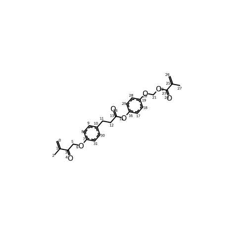 C=C(C)C(=O)COc1ccc(CCC(=O)Oc2ccc(OCOC(=O)C(=C)C)cc2)cc1